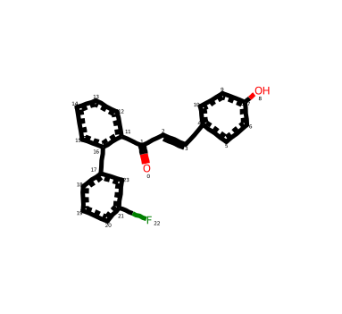 O=C(/C=C/c1ccc(O)cc1)c1ccccc1-c1cccc(F)c1